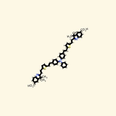 CC1(C)C(/C=C/c2ccc(/C=C/c3ccc(N(c4ccccc4)c4ccc(/C=C/c5ccc(/C=C/C6=Nc7ccc(C(=O)O)cc7C6(C)C)s5)cc4)cc3)s2)=Nc2ccc(C(=O)O)cc21